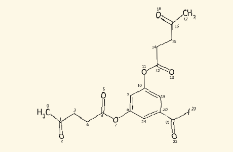 CC(=O)CCC(=O)Oc1cc(OC(=O)CCC(C)=O)cc(C(=O)I)c1